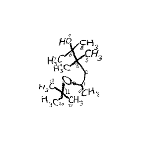 CC(CC(C)(C)C(C)(C)O)OC(C)(C)C